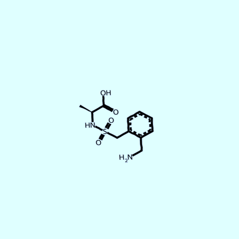 C[C@H](NS(=O)(=O)Cc1ccccc1CN)C(=O)O